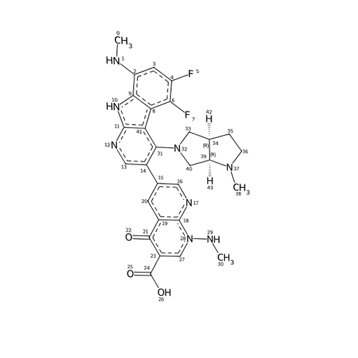 CNc1cc(F)c(F)c2c1[nH]c1ncc(-c3cnc4c(c3)c(=O)c(C(=O)O)cn4NC)c(N3C[C@H]4CCN(C)[C@H]4C3)c12